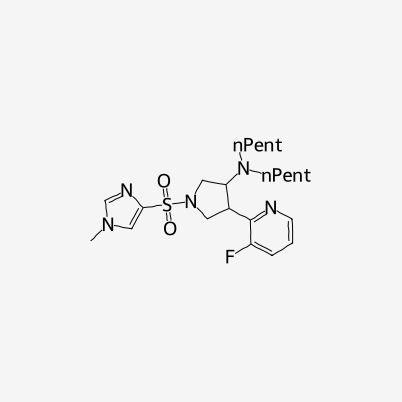 CCCCCN(CCCCC)C1CN(S(=O)(=O)c2cn(C)cn2)CC1c1ncccc1F